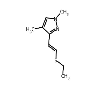 CCSC=Cc1nn(C)cc1C